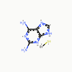 CCS.Nc1nc(N)c2nc[nH]c2n1